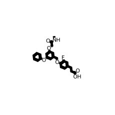 CNC(=O)COc1cc(COc2ccc(CCC(=O)O)cc2F)cc(Oc2ccccc2)c1